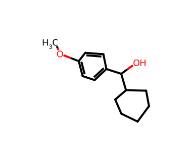 COc1ccc(C(O)C2CCCCC2)cc1